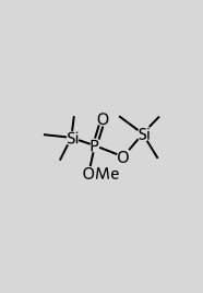 COP(=O)(O[Si](C)(C)C)[Si](C)(C)C